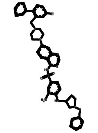 O=[N+]([O-])c1cc(S(=O)(=O)Nc2ncnc3cc(N4CCN(Cc5cc(Cl)ccc5-c5ccccc5)CC4)ccc23)ccc1NC1CCN(Sc2ccccc2)C1